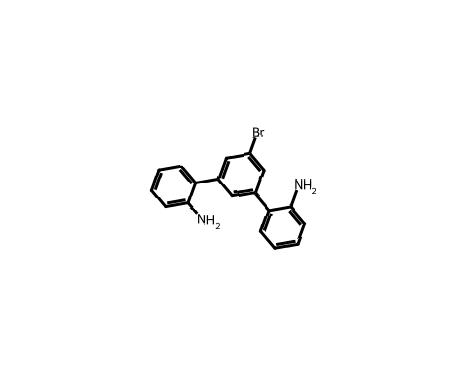 Nc1ccccc1-c1cc(Br)cc(-c2ccccc2N)c1